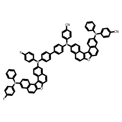 N#Cc1ccc(N(c2ccccc2)c2ccc3c(ccc4oc5ccc6cc(N(c7ccc(C#N)cc7)c7ccc(-c8ccc(N(c9ccc(F)cc9)c9ccc%10c(ccc%11oc%12ccc%13cc(N(c%14ccccc%14)c%14ccc(F)cc%14)ccc%13c%12c%11%10)c9)cc8)cc7)ccc6c5c43)c2)cc1